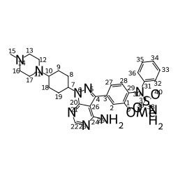 COc1cc(-c2nn(C3CCC(N4CCN(C)CC4)CC3)c3ncnc(N)c23)ccc1N(c1ccccc1)S(N)(=O)=O